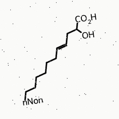 CCCCCCCCCCCCCCC/C=C/CC(O)C(=O)O